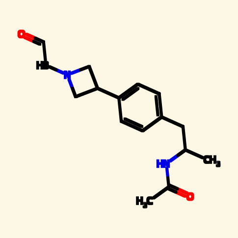 CC(=O)NC(C)Cc1ccc(C2CN(BC=O)C2)cc1